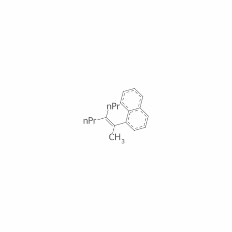 CCCC(CCC)=C(C)c1cccc2ccccc12